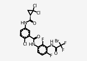 O=C(Nc1ccc(F)c(NC(=O)C(F)(F)Br)c1F)c1cc(NC(=O)[C@H]2CC2(Cl)Cl)ccc1Cl